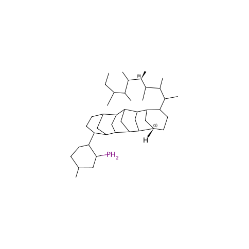 CCC(C)C(C)C(C)[C@@H](C)C(C)C(C)C(C)C1CC[C@H]2CC1C1CC2C2CC1C1CC2C2CC1CCC2C1CCC(C)CC1P